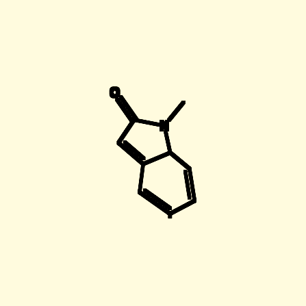 CN1C(=O)C=C2C=[C]C=CC21